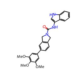 COc1cc(-c2ccc3c(c2)CN(C(=O)Nc2c[nH]c4ccccc24)C3)cc(OC)c1OC